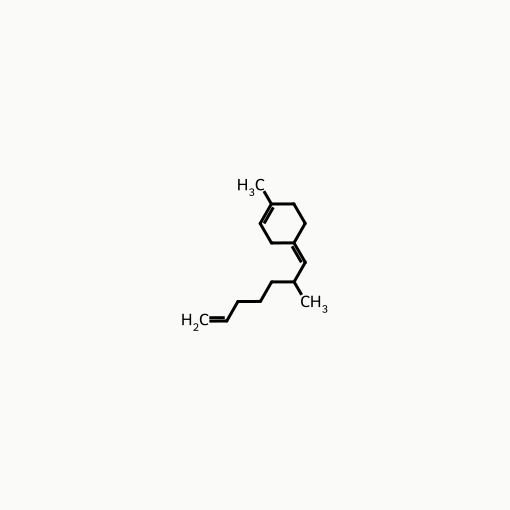 C=CCCCC(C)C=C1CC=C(C)CC1